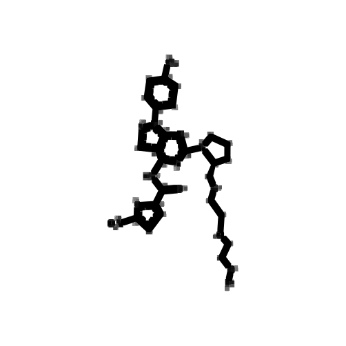 CCOCCOCCOC[C@@H]1CCCN1c1nc(NC(=O)c2ccc([N+](=O)[O-])s2)c2cnn(-c3ccc(C(C)(C)C)cc3)c2n1